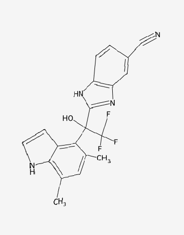 Cc1cc(C)c2[nH]ccc2c1C(O)(c1nc2cc(C#N)ccc2[nH]1)C(F)(F)F